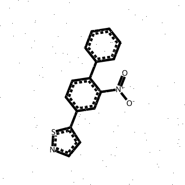 O=[N+]([O-])c1cc(-c2ccns2)ccc1-c1ccccc1